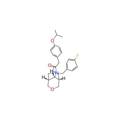 CC(C)Oc1ccc(CC(=O)N(Cc2ccc(F)cc2)[C@H]2[C@@H]3COC[C@H]2CN(C)C3)cc1